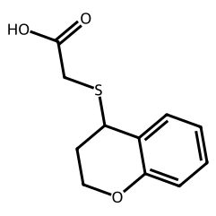 O=C(O)CSC1CCOc2ccccc21